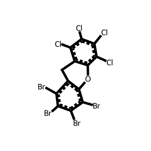 Clc1c(Cl)c(Cl)c2c(c1Cl)Cc1c(Br)c(Br)c(Br)c(Br)c1O2